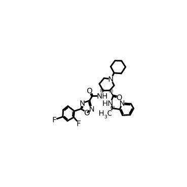 C[C@@H](NC(=O)[C@@H]1CN(C2CCCCC2)CC[C@H]1NC(=O)c1noc(-c2ccc(F)cc2F)n1)c1ccccn1